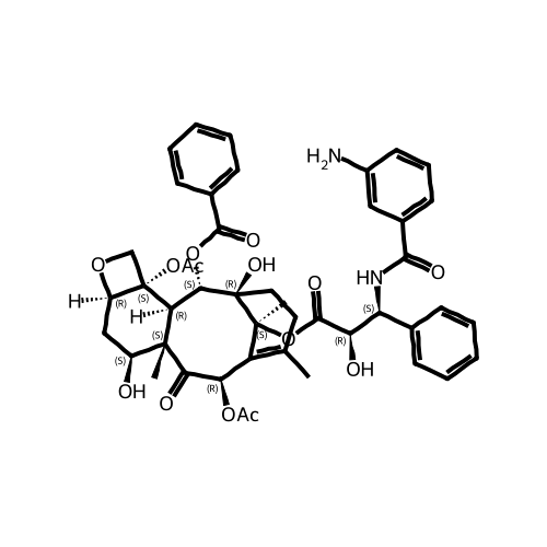 CC(=O)O[C@H]1C(=O)[C@@]2(C)[C@H]([C@H](OC(=O)c3ccccc3)[C@]3(O)CCC(C)=C1[C@]3(C)OC(=O)[C@H](O)[C@@H](NC(=O)c1cccc(N)c1)c1ccccc1)[C@]1(OC(C)=O)CO[C@@H]1C[C@@H]2O